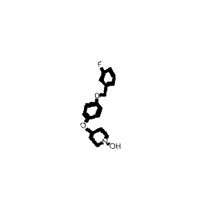 ON1CCC(Oc2ccc(OCc3cccc(F)c3)cc2)CC1